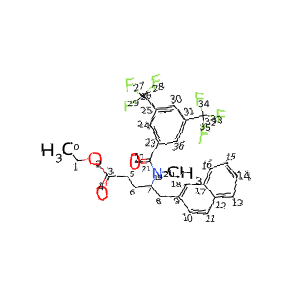 CCOC(=O)CCC(Cc1ccc2ccccc2c1)N(C)C(=O)c1cc(C(F)(F)F)cc(C(F)(F)F)c1